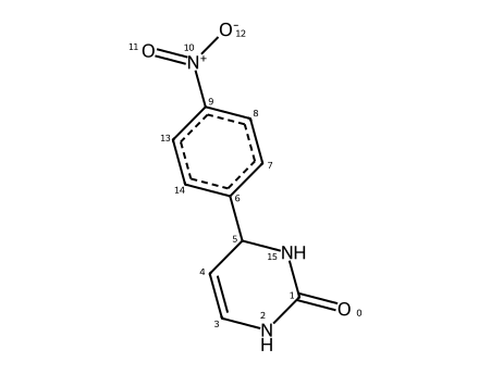 O=C1NC=CC(c2ccc([N+](=O)[O-])cc2)N1